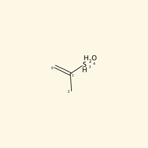 C=C(C)S.O